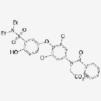 CCN(CC)S(=O)(=O)c1cc(Oc2c(Cl)cc(N(CC(=O)O)C(=O)c3ccccc3)cc2Cl)ccc1O